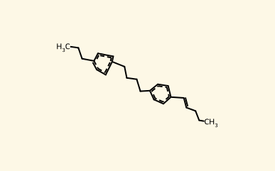 CCCC=Cc1ccc(CCCCc2ccc(CCC)cc2)cc1